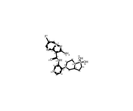 Nc1nn2cc(F)cnc2c1C(=O)Nc1cnccc1N1CCN2C(CCS2(O)O)C1